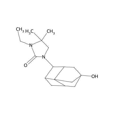 CCN1C(=O)N(C2C3CC4CC2CC(O)(C4)C3)CC1(C)C